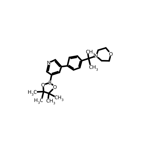 CC(C)(c1ccc(-c2cncc(B3OC(C)(C)C(C)(C)O3)c2)cc1)N1CCOCC1